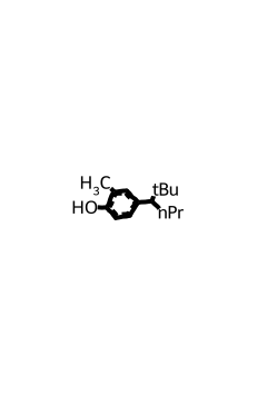 CCCC(c1ccc(O)c(C)c1)C(C)(C)C